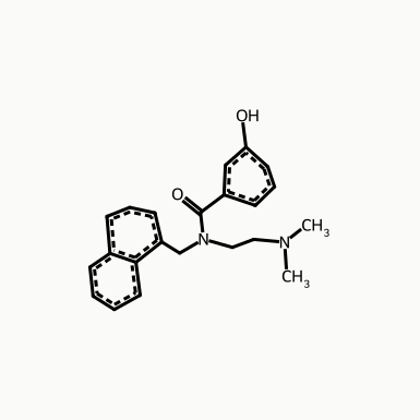 CN(C)CCN(Cc1cccc2ccccc12)C(=O)c1cccc(O)c1